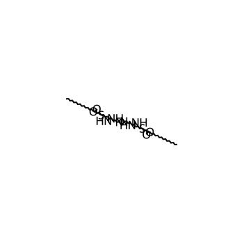 CCCCCCCCCCCCCCOC(=O)CCSCCCC(=N)NCCCN1CCN(CCCNC(=N)CCCSCCC(=O)OCCCCCCCCCCCCCC)CC1